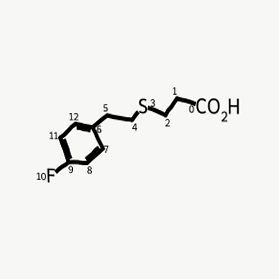 O=C(O)CCSCCc1ccc(F)cc1